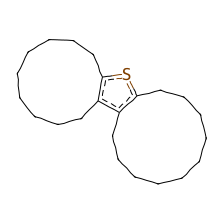 C1CCCCCc2c(sc3c2CCCCCCCCC3)CCCC1